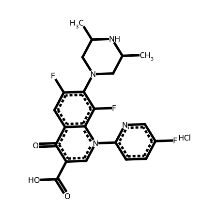 CC1CN(c2c(F)cc3c(=O)c(C(=O)O)cn(-c4ccc(F)cn4)c3c2F)CC(C)N1.Cl